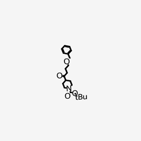 CC(C)(C)OC(=O)N1CCC(C(=O)CCCOCc2ccccc2)CC1